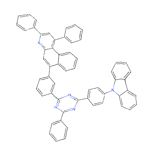 c1ccc(-c2cc(-c3ccccc3)c3c(cc(-c4cccc(-c5nc(-c6ccccc6)nc(-c6ccc(-n7c8ccccc8c8ccccc87)cc6)n5)c4)c4ccccc43)n2)cc1